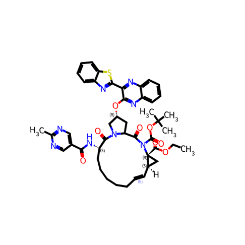 CCOC(=O)[C@@]12C[C@H]1/C=C/CCCCC[C@H](NC(=O)c1cnc(C)nc1)C(=O)N1C[C@H](Oc3nc4ccccc4nc3-c3nc4ccccc4s3)CC1C(=O)N2C(=O)OC(C)(C)C